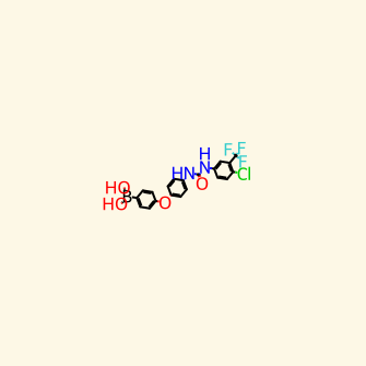 O=C(Nc1ccc(Oc2ccc(B(O)O)cc2)cc1)Nc1ccc(Cl)c(C(F)(F)F)c1